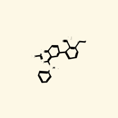 NC(=O)c1c(CCO)cccc1-c1ccc2nc(N)nc(N(Br)c3ccccc3)c2c1